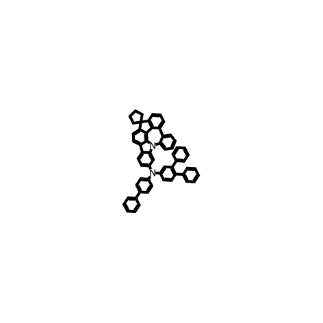 c1ccc(-c2ccc(N(c3ccc(-c4ccccc4)c(-c4ccccc4)c3)c3ccc4c5ccc6c7c5n(c4c3)-c3ccccc3-c3cccc(c3-7)C63CCCC3)cc2)cc1